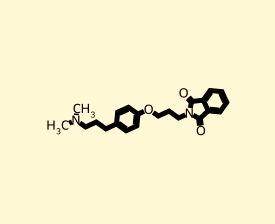 CN(C)CCCc1ccc(OCCCN2C(=O)c3ccccc3C2=O)cc1